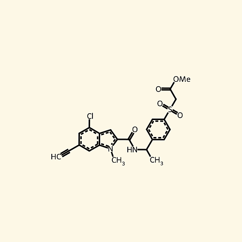 C#Cc1cc(Cl)c2cc(C(=O)NC(C)c3ccc(S(=O)(=O)CC(=O)OC)cc3)n(C)c2c1